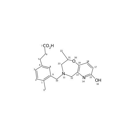 Cc1ccc(CCC(=O)O)cc1CN1Cc2nc(O)ccc2OC(C)C1